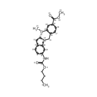 CCCCOC(=O)Nc1ccc2ccn(Cc3ccc(C(=O)OC)cc3OC)c2c1